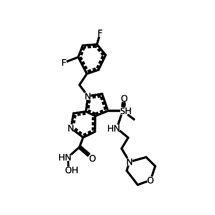 C[SH](=O)(NCCN1CCOCC1)c1cn(Cc2ccc(F)cc2F)c2cnc(C(=O)NO)cc12